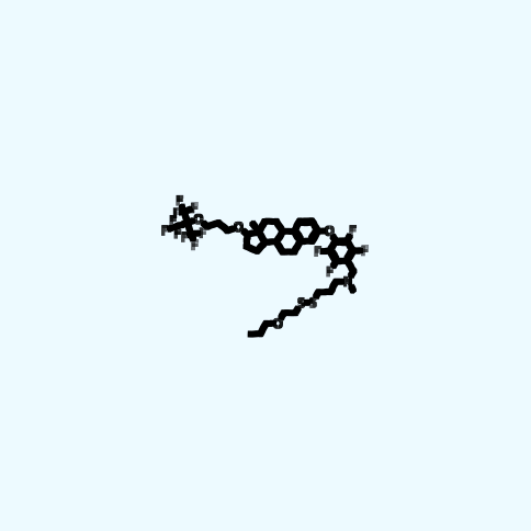 CCCOCCSSCCCN(C)Cc1c(F)c(F)c(Oc2ccc3c(c2)CCC2C3CCC3(C)C(OCCCOC(C(F)(F)F)(C(F)(F)F)C(F)(F)F)CCC23)c(F)c1F